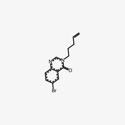 C=CCCCn1cnc2ccc(Br)cc2c1=O